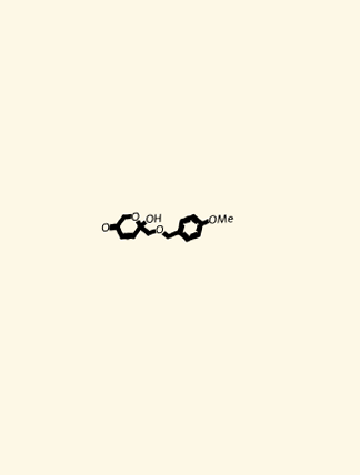 COc1ccc(COCC2(O)C=CC(=O)CO2)cc1